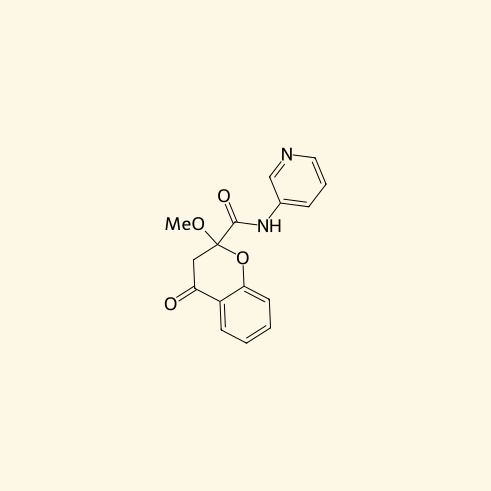 COC1(C(=O)Nc2cccnc2)CC(=O)c2ccccc2O1